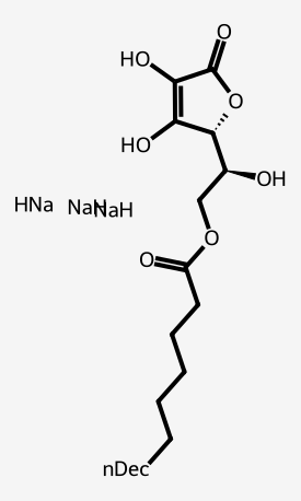 CCCCCCCCCCCCCCCC(=O)OC[C@H](O)[C@H]1OC(=O)C(O)=C1O.[NaH].[NaH].[NaH]